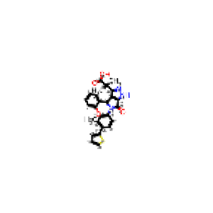 COc1ccccc1C1c2c(C(C)(C)C(=O)O)n[nH]c2C(=O)N1c1ccc(-c2cccs2)cc1